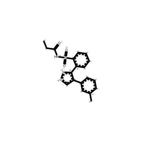 CCC(=O)NS(=O)(=O)c1ccccc1-c1nocc1-c1cccc(C)c1